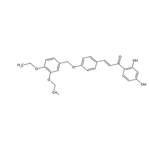 CCOc1ccc(COc2ccc(/C=C/C(=O)c3ccc(O)cc3O)cc2)cc1OCC